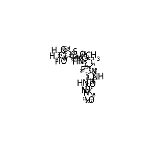 CC1(C)C=CC(c2cc(Nc3cc4n(n3)CCOC4)c(=O)[nH]n2)=C(F)C1NC(=O)c1cc2c(s1)CC(C)(C)C2O